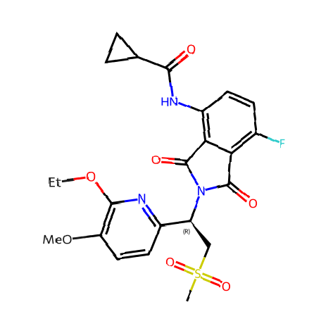 CCOc1nc([C@H](CS(C)(=O)=O)N2C(=O)c3c(F)ccc(NC(=O)C4CC4)c3C2=O)ccc1OC